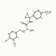 CC(C)C(OCc1ccc(F)c(Cl)c1)C(=O)NC1(c2ccc(C(=O)O)cc2)CC1